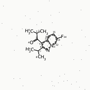 CC(C)C(=O)c1c(C(C)C)nn2cc(F)ccc12